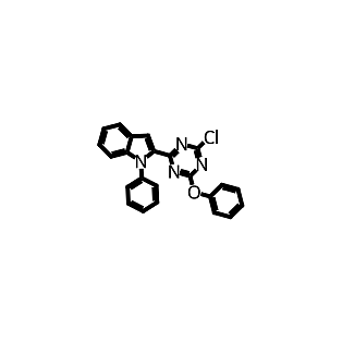 Clc1nc(Oc2ccccc2)nc(-c2cc3ccccc3n2-c2ccccc2)n1